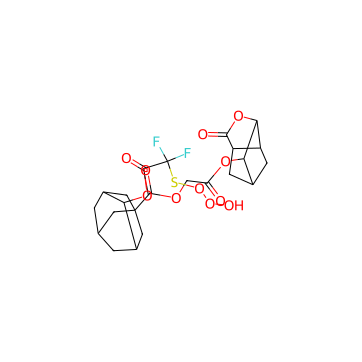 O=C(COC(=O)C12CC3CC(C1)C(OC(=O)C(F)(F)SOOO)C(C3)C2)OC1C2CC3C(=O)OC1C3C2